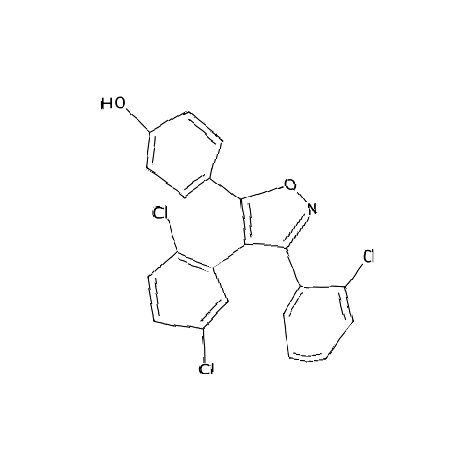 Oc1ccc(-c2onc(-c3ccccc3Cl)c2-c2cc(Cl)ccc2Cl)cc1